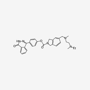 CCN(C)CCN(C)Cc1ccc2c(c1)CN(C(=O)Oc1ccc(-c3n[nH]c(=O)c4ccccc34)cc1)C2